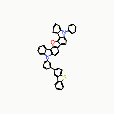 c1ccc(-n2c3ccccc3c3c4oc5c(ccc6c5c5ccccc5n6-c5cccc(-c6ccc7sc8ccccc8c7c6)c5)c4ccc32)cc1